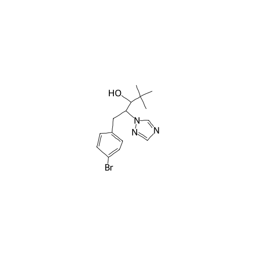 CC(C)(C)C(O)C(Cc1ccc(Br)cc1)n1cncn1